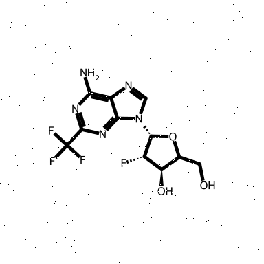 Nc1nc(C(F)(F)F)nc2c1ncn2[C@@H]1OC(CO)[C@@H](O)[C@@H]1F